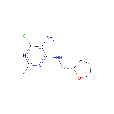 Cc1nc(Cl)c(N)c(NC[C@@H]2CCCO2)n1